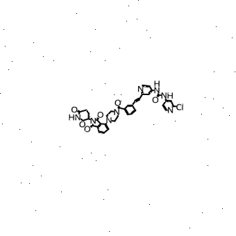 O=C1CCC(N2C(=O)c3cccc(N4CCN(C(=O)c5cccc(C#Cc6cc(NC(=O)Nc7ccnc(Cl)c7)ccn6)c5)CC4)c3C2=O)C(=O)N1